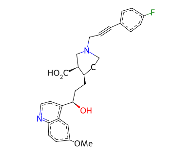 COc1ccc2nccc([C@H](O)CC[C@@H]3CCN(CC#Cc4ccc(F)cc4)C[C@@H]3C(=O)O)c2c1